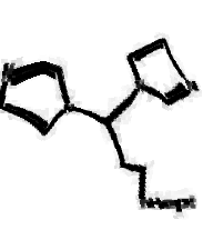 CCCCCCCCCC(n1ccnc1)n1ccnc1